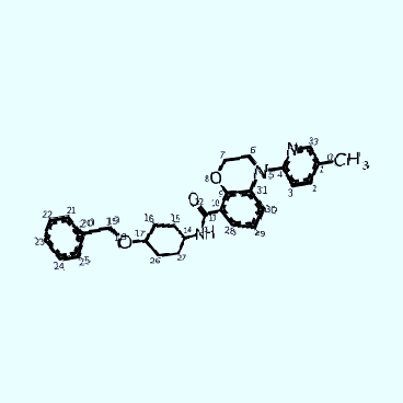 Cc1ccc(N2CCOc3c(C(=O)NC4CCC(OCc5ccccc5)CC4)cccc32)nc1